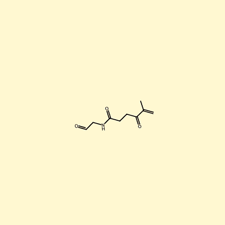 C=C(C)C(=O)CCC(=O)NCC=O